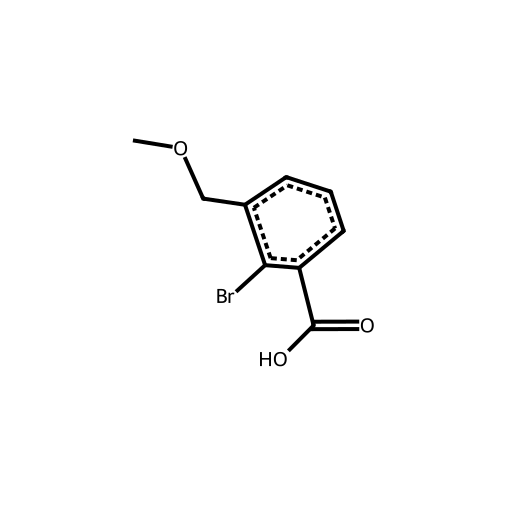 COCc1cccc(C(=O)O)c1Br